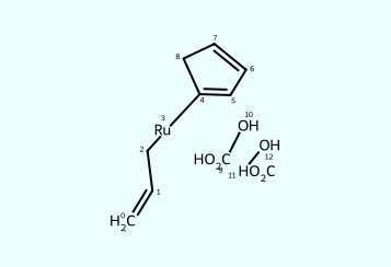 C=C[CH2][Ru][C]1=CC=CC1.O=C(O)O.O=C(O)O